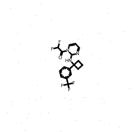 O=C(C(F)F)N1C=CC=NC1NC1(c2cccc(C(F)(F)F)c2)CCC1